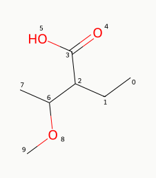 CCC(C(=O)O)C(C)OC